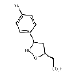 N#Cc1ccc(C2C[C@@H](CC(=O)O)ON2)cc1